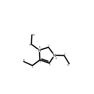 CCC1=CN(CC)CN1CC